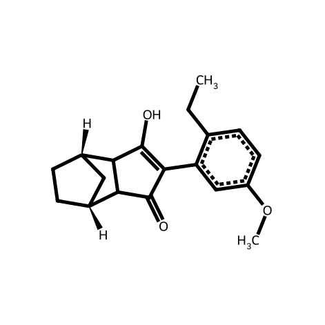 CCc1ccc(OC)cc1C1=C(O)C2C(C1=O)[C@@H]1CC[C@H]2C1